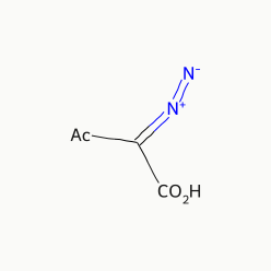 [CH2]C(=O)C(=[N+]=[N-])C(=O)O